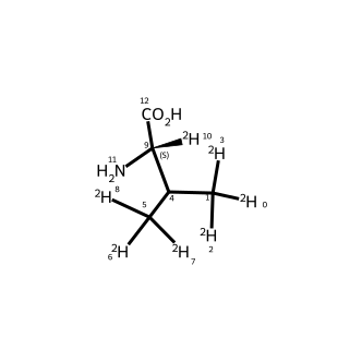 [2H]C([2H])([2H])C(C([2H])([2H])[2H])[C@]([2H])(N)C(=O)O